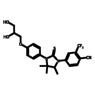 CC1N(c2ccc(C#N)c(C(F)(F)F)c2)C(=S)N(c2ccc(OCC(O)CO)cc2)C1(C)C